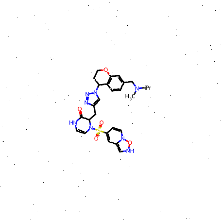 CC(C)N(C)Cc1ccc2c(c1)OCCC2n1cc(CC2C(=O)NC=CN2S(=O)(=O)C2=CC3=CNON3C=C2)nn1